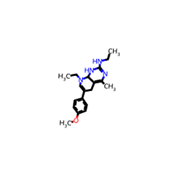 CCNC1=NC(C)=C2CC(c3ccc(OC)cc3)=CN(CC)C2N1